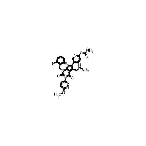 CNCc1c(-c2ccc(OC(N)=O)nc2)sc2c1c(=O)n(-c1ccc(OC)nn1)c(=O)n2Cc1c(F)cccc1F